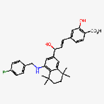 CC1(C)CCC(C)(C)c2c(NCc3ccc(F)cc3)cc(C(O)C=Cc3ccc(C(=O)O)c(O)c3)cc21